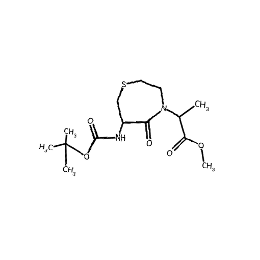 COC(=O)C(C)N1CCSCC(NC(=O)OC(C)(C)C)C1=O